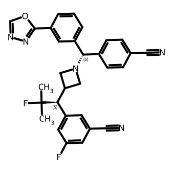 CC(C)(F)[C@H](c1cc(F)cc(C#N)c1)C1CN([C@@H](c2ccc(C#N)cc2)c2cccc(-c3nnco3)c2)C1